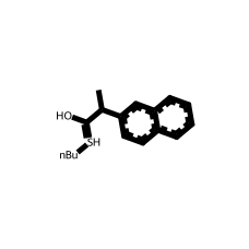 CCCC[SH]=C(O)C(C)c1ccc2ccccc2c1